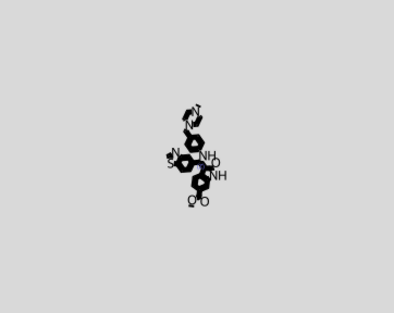 COC(=O)c1ccc2c(c1)NC(=O)/C2=C(\Nc1ccc(CN2CCN(C)CC2)cc1)c1ccc2scnc2c1